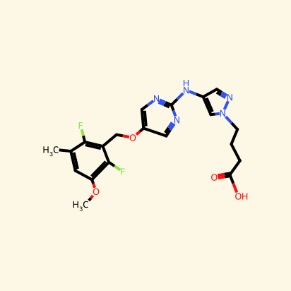 COc1cc(C)c(F)c(COc2cnc(Nc3cnn(CCCC(=O)O)c3)nc2)c1F